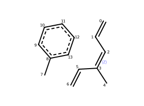 C=C/C=C(/C)C=C.Cc1ccccc1